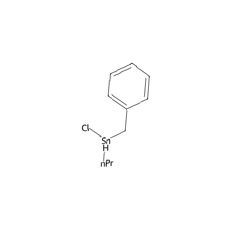 CC[CH2][SnH]([Cl])[CH2]c1ccccc1